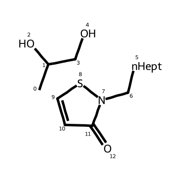 CC(O)CO.CCCCCCCCn1sccc1=O